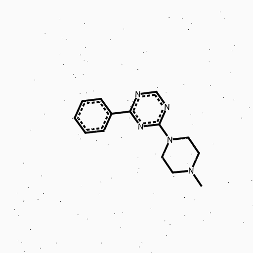 CN1CCN(c2ncnc(-c3ccccc3)n2)CC1